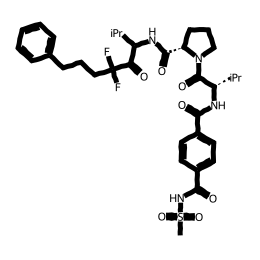 CC(C)C(NC(=O)[C@@H]1CCCN1C(=O)[C@@H](NC(=O)c1ccc(C(=O)NS(C)(=O)=O)cc1)C(C)C)C(=O)C(F)(F)CCCc1ccccc1